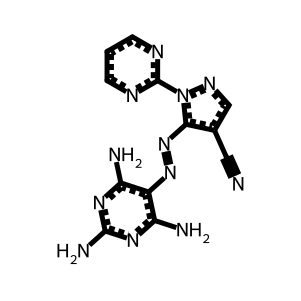 N#Cc1cnn(-c2ncccn2)c1N=Nc1c(N)nc(N)nc1N